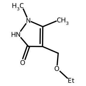 CCOCc1c(C)n(C)[nH]c1=O